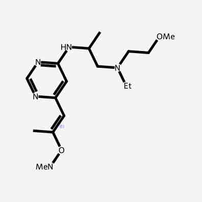 CCN(CCOC)CC(C)Nc1cc(/C=C(\C)ONC)ncn1